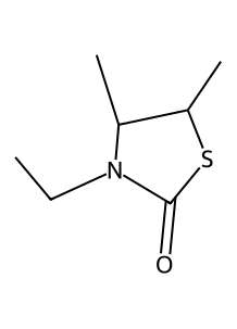 CCN1C(=O)SC(C)C1C